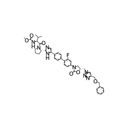 COC(=O)N[C@H](C(=O)N1CCC[C@H]1c1ncc(-c2ccc(-c3ccc(N4C[C@H](Cn5cc(COCc6ccccc6)nn5)OC4=O)cc3F)cc2)[nH]1)C(C)C